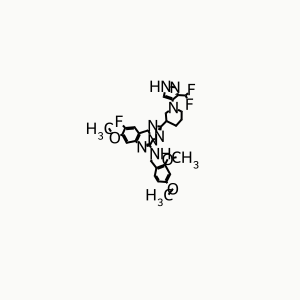 COc1ccc(CNc2nc3cc(OC)c(F)cc3c3nc(C4CCCN(c5c[nH]nc5C(F)F)C4)nn23)c(OC)c1